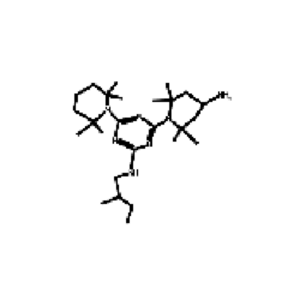 CCC(C)CNc1nc(N2C(C)(C)CCCC2(C)C)nc(N2C(C)(C)CC(N)CC2(C)C)n1